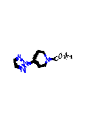 O=C(O)N1CCC(n2nccn2)CC1